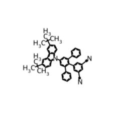 CC(C)(C)c1ccc2c(c1)c1cc(C(C)(C)C)ccc1n2-c1cc(-c2ccccc2)c(-c2cc(C#N)cc(C#N)c2)c(-c2ccccc2)c1